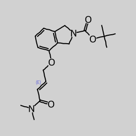 CN(C)C(=O)/C=C/COc1cccc2c1CN(C(=O)OC(C)(C)C)C2